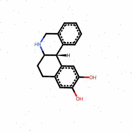 Oc1cc2c(cc1O)[C@H]1c3ccccc3CNC1CC2